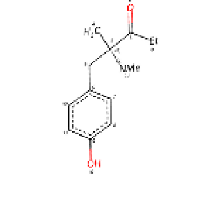 CCC(=O)[C@](C)(Cc1ccc(O)cc1)NC